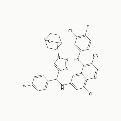 N#Cc1cnc2c(Cl)cc(NC(c3ccc(F)cc3)c3cn(C4CN5CCC4CC5)nn3)cc2c1Nc1ccc(F)c(Cl)c1